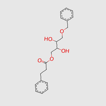 O=C(CCc1ccccc1)OCC(O)C(O)COCc1ccccc1